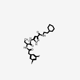 CCC(NC(=O)Cc1cc(F)cc(F)c1)C(=O)Nc1cc(C(=O)NCCC2CCCCC2)n[nH]1